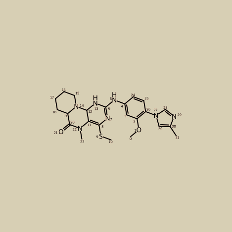 COc1cc(NC2=NC(SC)=C3C(N2)N2CCCCC2C(=O)N3C)ccc1-n1cnc(C)c1